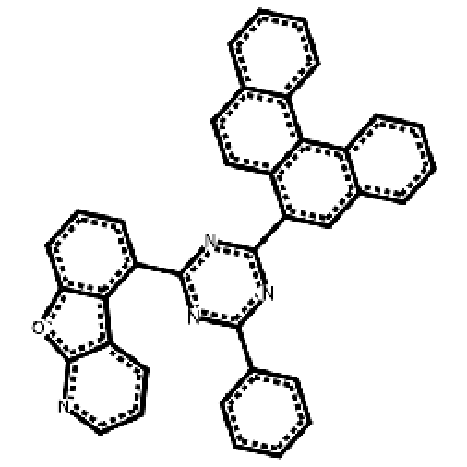 c1ccc(-c2nc(-c3cc4ccccc4c4c3ccc3ccccc34)nc(-c3cccc4oc5ncccc5c34)n2)cc1